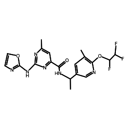 Cc1cc(C(=O)NC(C)c2cnc(OC(F)C(F)F)c(C)c2)nc(Nc2ncco2)n1